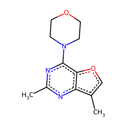 Cc1nc(N2CCOCC2)c2occ(C)c2n1